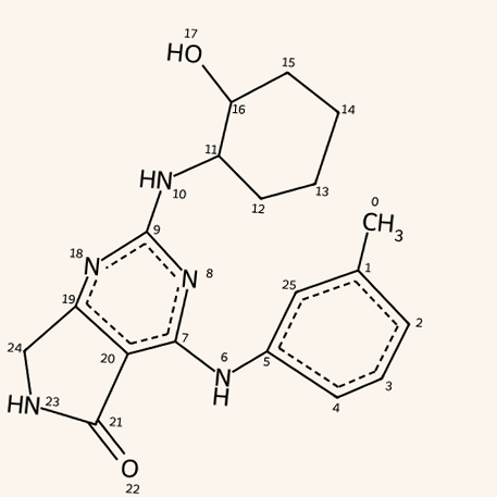 Cc1cccc(Nc2nc(NC3CCCCC3O)nc3c2C(=O)NC3)c1